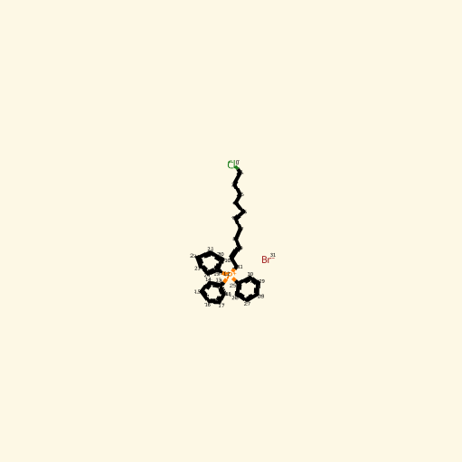 ClCCCCCCCCC=CC[P+](c1ccccc1)(c1ccccc1)c1ccccc1.[Br-]